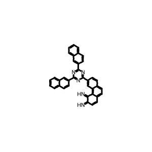 N=C1C=Cc2ccc3ccc(-c4nc(-c5ccc6ccccc6c5)nc(-c5ccc6ccccc6c5)n4)cc3c2C1=N